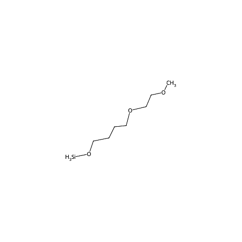 COCCOCCCCO[SiH3]